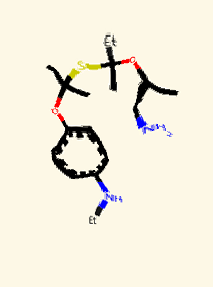 CCNc1ccc(OC(C)(C)SC(C)(CC)OC(C)CN)cc1